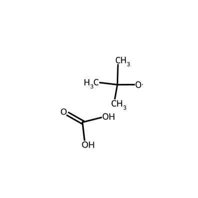 CC(C)(C)[O].O=C(O)O